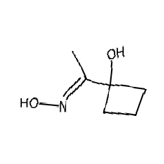 CC(=NO)C1(O)CCC1